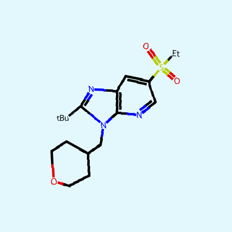 CCS(=O)(=O)c1cnc2c(c1)nc(C(C)(C)C)n2CC1CCOCC1